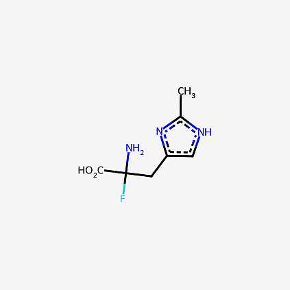 Cc1nc(CC(N)(F)C(=O)O)c[nH]1